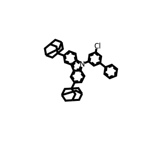 Clc1cc(-c2ccccc2)cc(-n2c3ccc(C45CC6CC(CC(C6)C4)C5)cc3c3cc(C45CC6CC(CC(C6)C4)C5)ccc32)c1